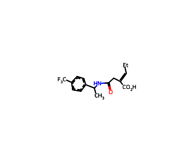 CC/C=C(\CC(=O)NC(C)c1ccc(C(F)(F)F)cc1)C(=O)O